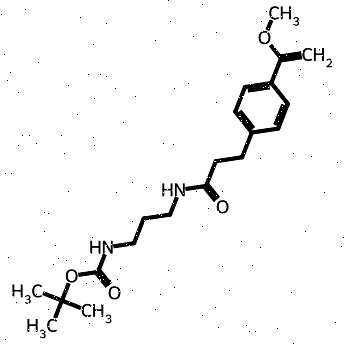 C=C(OC)c1ccc(CCC(=O)NCCCNC(=O)OC(C)(C)C)cc1